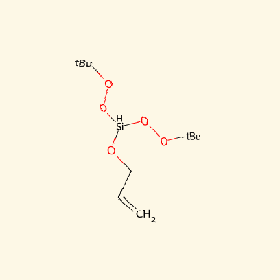 C=CCO[SiH](OOC(C)(C)C)OOC(C)(C)C